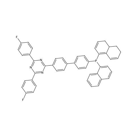 Fc1ccc(-c2nc(-c3ccc(F)cc3)nc(-c3ccc(-c4ccc(P(C5=C6C=CCCC6CC=C5)c5cccc6ccccc56)cc4)cc3)n2)cc1